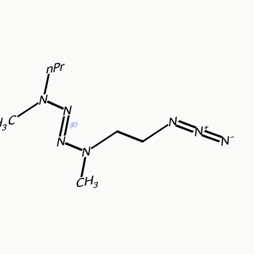 CCCN(C)/N=N/N(C)CCN=[N+]=[N-]